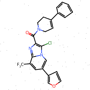 O=C(c1nc2c(C(F)(F)F)cc(-c3ccoc3)cn2c1Cl)N1CC=C(c2ccccc2)CC1